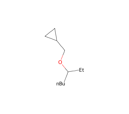 CCCCC(CC)OCC1CC1